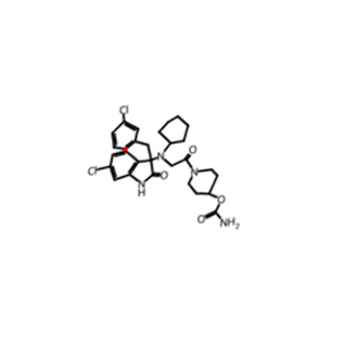 NC(=O)OC1CCN(C(=O)CN(C2CCCCC2)C2(Cc3cccc(Cl)c3)C(=O)Nc3cc(Cl)ccc32)CC1